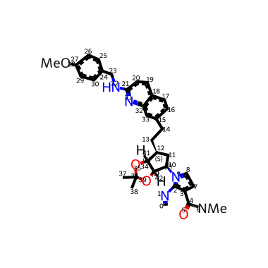 C=Nc1c(C(=O)NC)ccn1[C@@H]1C[C@H](CCc2ccc3ccc(NCc4ccc(OC)cc4)nc3c2)[C@H]2OC(C)(C)O[C@H]21